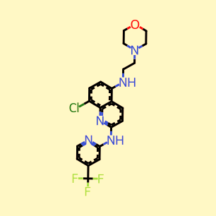 FC(F)(F)c1ccnc(Nc2ccc3c(NCCN4CCOCC4)ccc(Cl)c3n2)c1